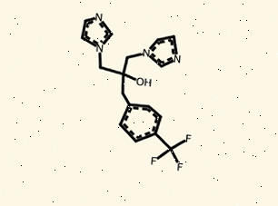 OC(Cc1ccc(C(F)(F)F)cc1)(Cn1ccnc1)Cn1ccnc1